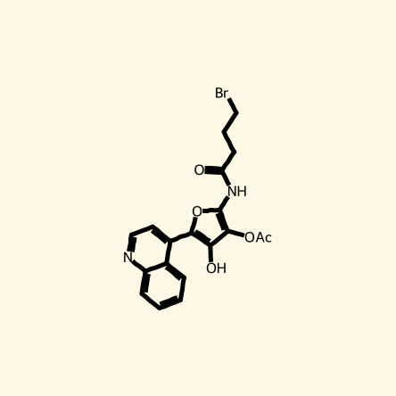 CC(=O)Oc1c(NC(=O)CCCBr)oc(-c2ccnc3ccccc23)c1O